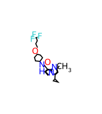 Cc1cc(C2CC2)n2ccc(C(=O)N[C@H]3CC[C@H](OCCCC(F)(F)F)CC3)c2n1